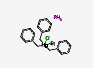 C[CH2][Hg]([Cl])([CH2]c1ccccc1)([CH2]c1ccccc1)[CH2]c1ccccc1.P